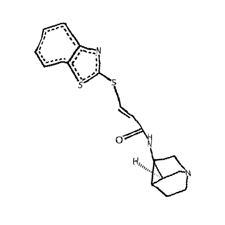 O=C(C=CSc1nc2ccccc2s1)N[C@H]1CN2CCC1CC2